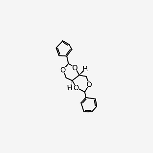 c1ccc(C2OC[C@H]3OC(c4ccccc4)OC[C@@H]3O2)cc1